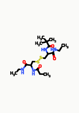 CCNC(=O)C(CSSCC(NC(=O)C(C)(C)C)C(=O)NCC)NC(=O)CC